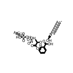 CC(O)C(=O)O.N#CO.O=C(O)c1ccccc1.O=NO.O=S(=O)(O)O.[Ag+].[Ag+].[Ag+].[Ag+].[Ag+].[Ag+].[Ag+].[Ag+].[Ag+].[O-2]